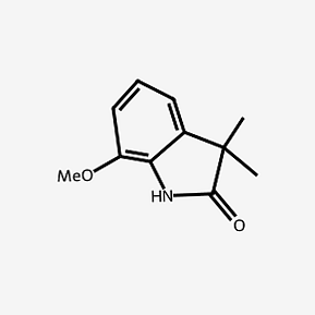 COc1cccc2c1NC(=O)C2(C)C